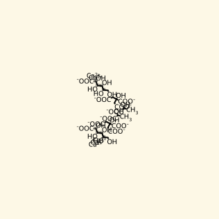 CC(O)C(=O)[O-].CC(O)C(=O)[O-].O=C([O-])CC(O)(CC(=O)[O-])C(=O)[O-].O=C([O-])CC(O)(CC(=O)[O-])C(=O)[O-].O=C([O-])[C@H](O)[C@@H](O)[C@H](O)[C@H](O)CO.O=C([O-])[C@H](O)[C@@H](O)[C@H](O)[C@H](O)CO.[Ca+2].[Ca+2].[Ca+2].[Ca+2].[Ca+2]